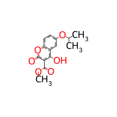 COC(=O)c1c(O)c2cc(OC(C)C)ccc2oc1=O